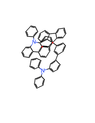 c1ccc(N(c2ccccc2)c2cccc(-c3cccc(C4(c5cccc(-c6ccccc6N(c6ccccc6)c6ccccc6)c5)c5ccccc5-c5ccccc54)c3)c2)cc1